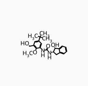 COc1c(CO)cc(C(C)(C)C)cc1NC(=O)N[C@@H]1Cc2ccccc2[C@H]1O